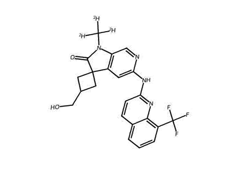 [2H]C([2H])([2H])N1C(=O)C2(CC(CO)C2)c2cc(Nc3ccc4cccc(C(F)(F)F)c4n3)ncc21